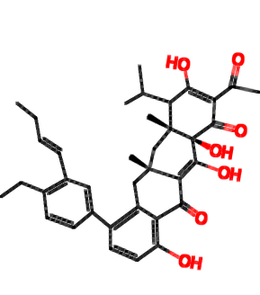 CC/C=C/c1cc(-c2ccc(O)c3c2C[C@]2(C)C[C@]4(C)C(C(C)C)C(O)=C(C(C)=O)C(=O)[C@]4(O)C(O)=C2C3=O)ccc1CC